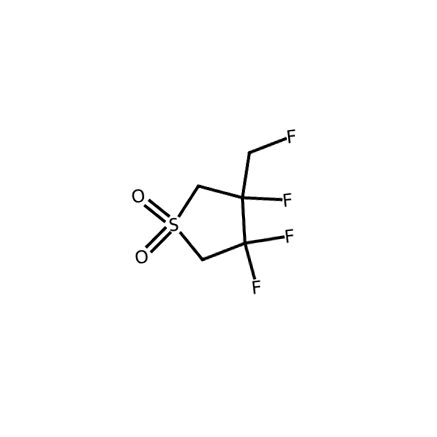 O=S1(=O)CC(F)(F)C(F)(CF)C1